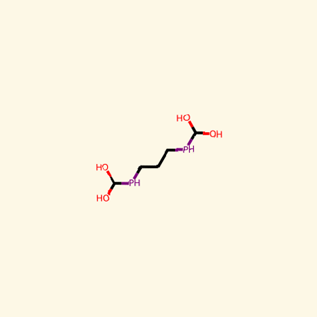 OC(O)PCCCPC(O)O